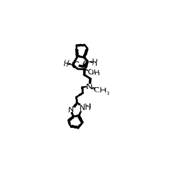 CN(CCCc1nc2ccccc2[nH]1)CC[C@]1(O)C[C@H]2CCC[C@@H]1c1ccccc12